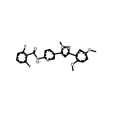 COc1ccc(OC)c(-c2cc(-c3ccc(NC(=O)c4c(F)cccc4F)nc3)n(C)n2)c1